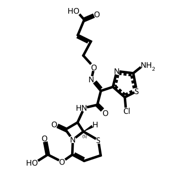 Nc1nc(C(=NOCC=CC(=O)O)C(=O)NC2C(=O)N3C(OC(=O)O)=CCS[C@@H]23)c(Cl)s1